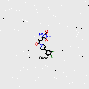 COc1cc(C2CCN(C(=O)[C@@H](C)C[C@@]3(C)NC(=O)NC3=O)CC2)cc(F)c1Cl